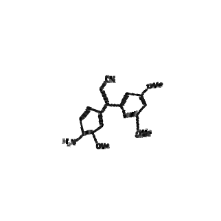 COc1cc(OC)cc(/C(=C\C#N)c2ccc(N)c(OC)c2)c1